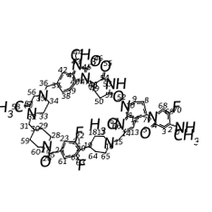 CNc1cc(=O)n(-c2ccnc3c2cc(CN2CCC(c4c(F)cc(C(=O)N5CCC(CN6CCN(Cc7ccc8c(c7)n(C)c(=O)n8[C@@H]7CCC(=O)NC7=O)C[C@@H]6C)CC5)cc4F)CC2)n3C)cc1F